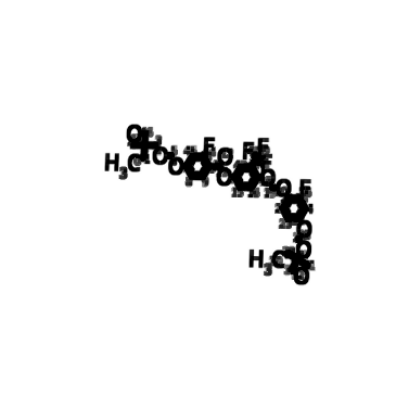 CCC1(COCOc2ccc(C(=O)Oc3ccc(OCOc4ccc(OCOC5(CC)COC5)cc4F)c(C(F)(F)F)c3)c(F)c2)COC1